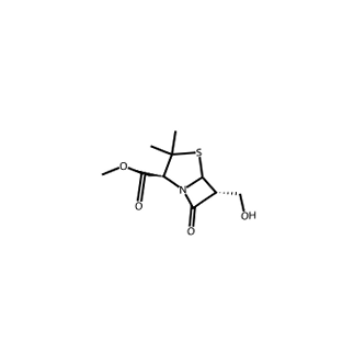 COC(=O)[C@@H]1N2C(=O)[C@@H](CO)C2SC1(C)C